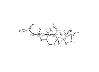 CC(=O)O[C@H]1CC[C@@]2(C)C(CC[C@@H]3[C@@H]2C(=O)C[C@]2(C)C(=O)CC[C@@H]32)C1